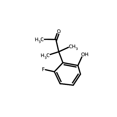 CC(=O)C(C)(C)c1c(O)cccc1F